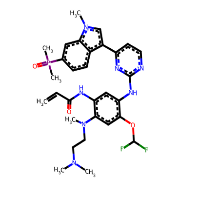 C=CC(=O)Nc1cc(Nc2nccc(-c3cn(C)c4cc(P(C)(C)=O)ccc34)n2)c(OC(F)F)cc1N(C)CCN(C)C